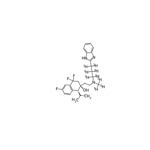 [2H]C([2H])([2H])N(CC[C@@]1(O)CC(F)(F)c2cc(F)ccc2[C@@H]1C(C)C)C([2H])([2H])C([2H])([2H])C([2H])([2H])c1nc2ccccc2[nH]1